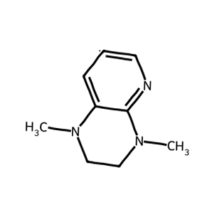 CN1CCN(C)c2nc[c]cc21